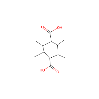 CC1C(C)C(C(=O)O)C(C)C(C)C1C(=O)O